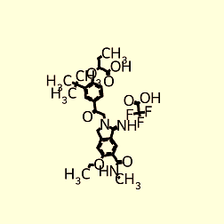 CCOc1cc2c(cc1C(=O)NC)C(=N)N(CC(=O)c1ccc(OC(CC)C(=O)O)c(C(C)(C)C)c1)C2.O=C(O)C(F)(F)F